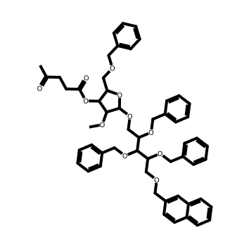 COC1C(OCC(OCc2ccccc2)C(OCc2ccccc2)C(COCc2ccc3ccccc3c2)OCc2ccccc2)OC(COCc2ccccc2)C1OC(=O)CCC(C)=O